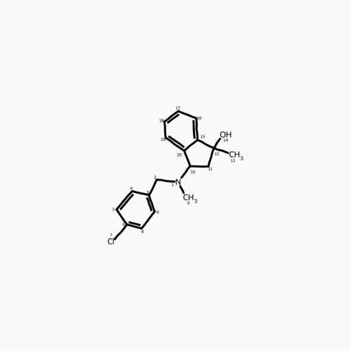 CN(Cc1ccc(Cl)cc1)C1CC(C)(O)c2ccccc21